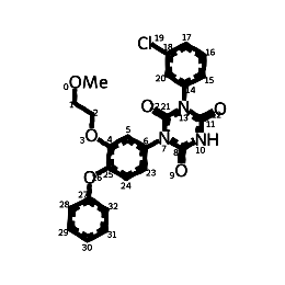 COCCOc1cc(-n2c(=O)[nH]c(=O)n(-c3cccc(Cl)c3)c2=O)ccc1Oc1ccccc1